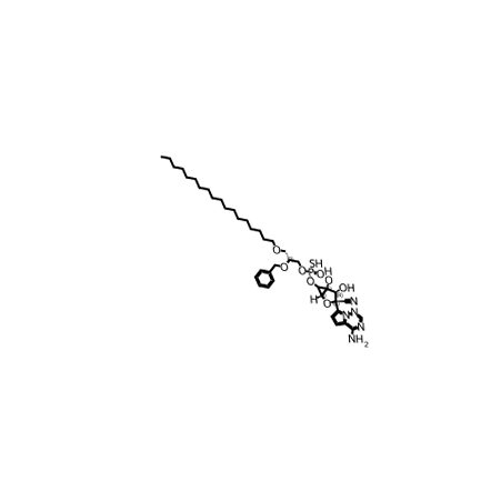 CCCCCCCCCCCCCCCCCCOC[C@H](COP(=O)(S)OC1[C@H]2O[C@@](C#N)(c3ccc4c(N)ncnn34)[C@H](O)[C@@]12O)OCc1ccccc1